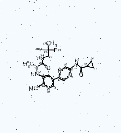 C[C@H](Nc1cc(-c2cnc(NC(=O)C3CC3)cn2)cnc1C#N)C(=O)NCC(C)(F)F